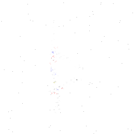 CCCCCCCCCCCCC(O)CN(CCCC(=O)OCCN1CCN(CCSSCCC(C)N(CC(O)CCCCCCCC)CC(O)CCCCCCCC)CC1)CC(O)CCCCCCCCCCCC